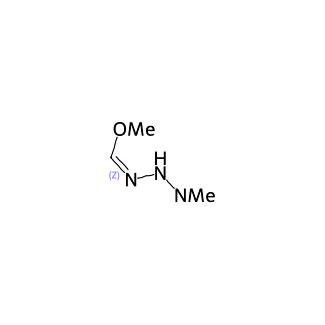 CNN/N=C\OC